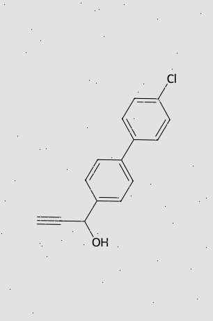 C#CC(O)c1ccc(-c2ccc(Cl)cc2)cc1